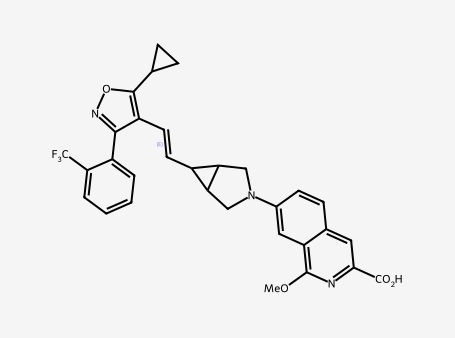 COc1nc(C(=O)O)cc2ccc(N3CC4C(/C=C/c5c(-c6ccccc6C(F)(F)F)noc5C5CC5)C4C3)cc12